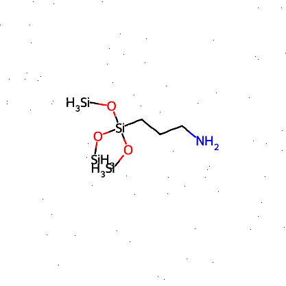 NCCC[Si](O[SiH3])(O[SiH3])O[SiH3]